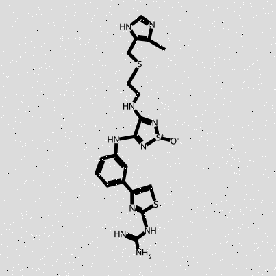 Cc1nc[nH]c1CSCCNc1n[s+]([O-])nc1Nc1cccc(-c2csc(NC(=N)N)n2)c1